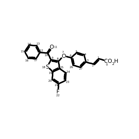 O=C(O)/C=C/c1ccc(Oc2c(C(=O)c3ccccc3)sc3cc(F)ccc23)cc1